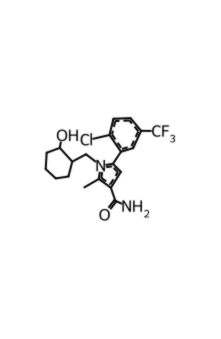 Cc1c(C(N)=O)cc(-c2cc(C(F)(F)F)ccc2Cl)n1CC1CCCCC1O